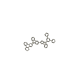 C1=CC(c2cc(-c3ccccc3)cc(-n3c4ccccc4c4cc(-c5ccc6c(c5)c5ccccc5n6C5=CC=C6C7=C(C=CCC7)c7ccccc7C6C5)ccc43)c2)=CCC1